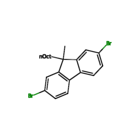 CCCCCCCCC1(C)c2cc(Br)ccc2-c2ccc(Br)cc21